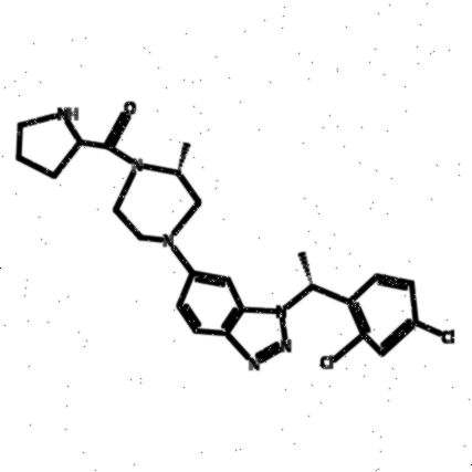 C[C@@H]1CN(c2ccc3nnn([C@H](C)c4ccc(Cl)cc4Cl)c3c2)CCN1C(=O)C1CCCN1